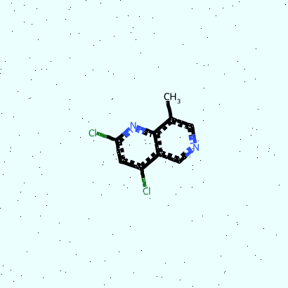 Cc1cncc2c(Cl)cc(Cl)nc12